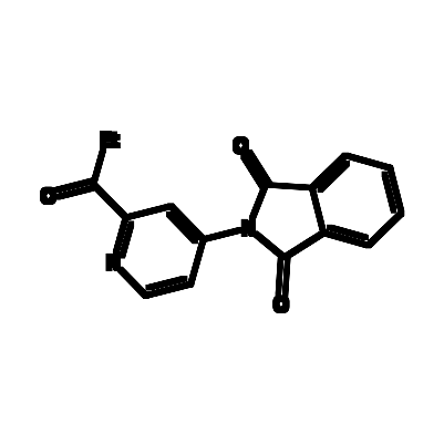 CCC(=O)c1cc(N2C(=O)c3ccccc3C2=O)ccn1